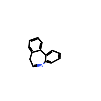 C1=Nc2ccccc2-c2ccccc2C1